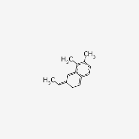 CC=C1C=c2c(C)c(C)ccc2=CC1